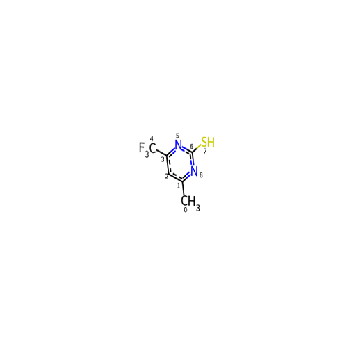 Cc1cc(C(F)(F)F)nc(S)n1